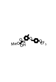 COC(=O)C(=O)Nc1ccc(C)c(OCc2ccc(OC(F)(F)F)cc2)c1